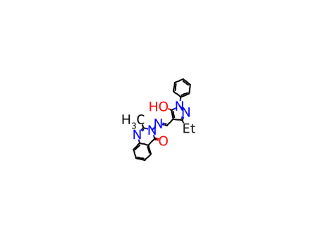 CCc1nn(-c2ccccc2)c(O)c1C=Nn1c(C)nc2ccccc2c1=O